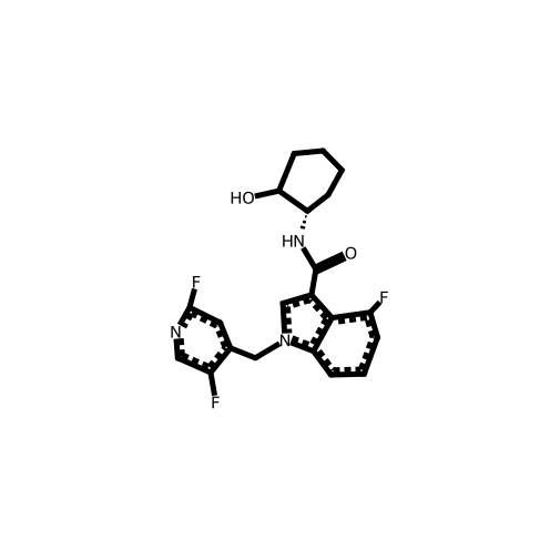 O=C(N[C@H]1CCCCC1O)c1cn(Cc2cc(F)ncc2F)c2cccc(F)c12